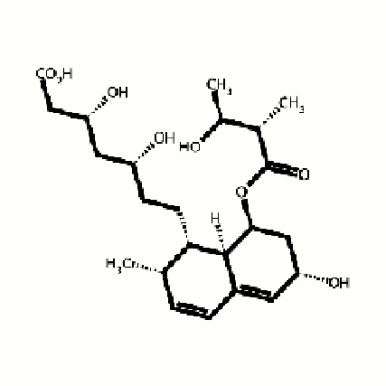 C[C@H](O)[C@H](C)C(=O)O[C@H]1C[C@H](O)C=C2C=C[C@H](C)[C@H](CC[C@@H](O)C[C@@H](O)CC(=O)O)[C@H]21